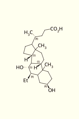 CC[C@@H]1C2C[C@H](O)CCC2(C)[C@H]2CCC3(C)C([C@H](C)CCC(=O)O)CC[C@H]3C2[C@H]1O